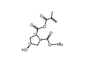 C=C(C)C(=O)OC(=O)[C@@H]1C[C@H](O)CN1C(=O)OC(C)(C)C